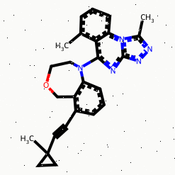 Cc1cccc2c1c(N1CCOCc3c(C#CC4(C)CC4)cccc31)nc1nnc(C)n12